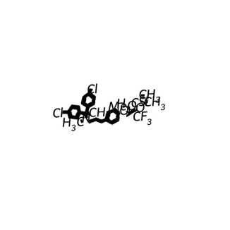 COC(COc1ccc(CCCN(C)C(C)(c2ccc(Cl)cc2)c2ccc(Cl)cc2)cc1)(O[Si](C)(C)C)C(F)(F)F